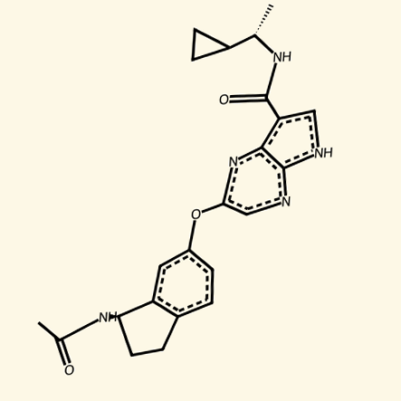 CC(=O)N[C@@H]1CCc2ccc(Oc3cnc4[nH]cc(C(=O)N[C@@H](C)C5CC5)c4n3)cc21